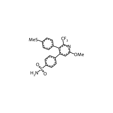 COc1cc(-c2ccc(S(N)(=O)=O)cc2)c(-c2ccc(SC)cc2)c(C(F)(F)F)n1